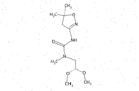 COC(CN(C)C(=O)NC1=NOC(C)(C)C1)OC